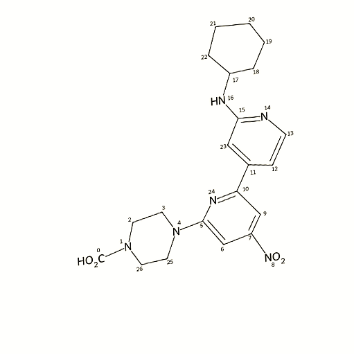 O=C(O)N1CCN(c2cc([N+](=O)[O-])cc(-c3ccnc(NC4CCCCC4)c3)n2)CC1